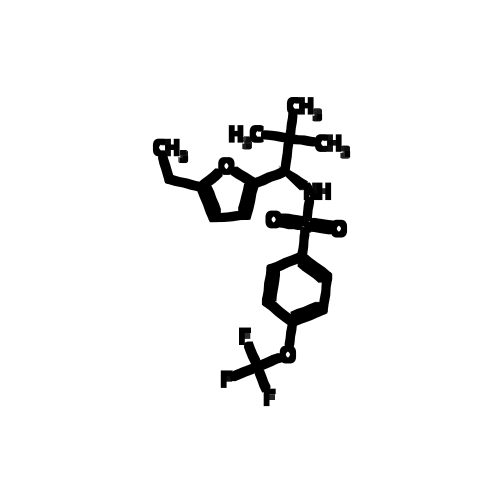 CCc1ccc([C@H](NS(=O)(=O)c2ccc(OC(F)(F)F)cc2)C(C)(C)C)o1